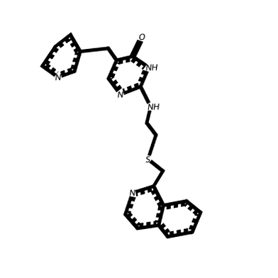 O=c1[nH]c(NCCSCc2nccc3ccccc23)ncc1Cc1cccnc1